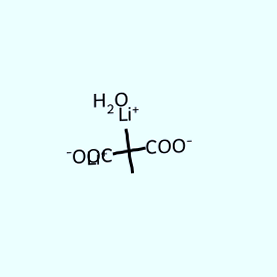 CC(C)(C(=O)[O-])C(=O)[O-].O.[Li+].[Li+]